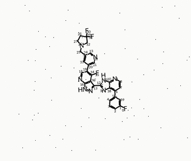 Fc1cccc(-c2ccnc3[nH]c(-c4n[nH]c5ncc(-c6cncc(CN7CCC(F)(F)C7)c6)c(F)c45)nc23)c1